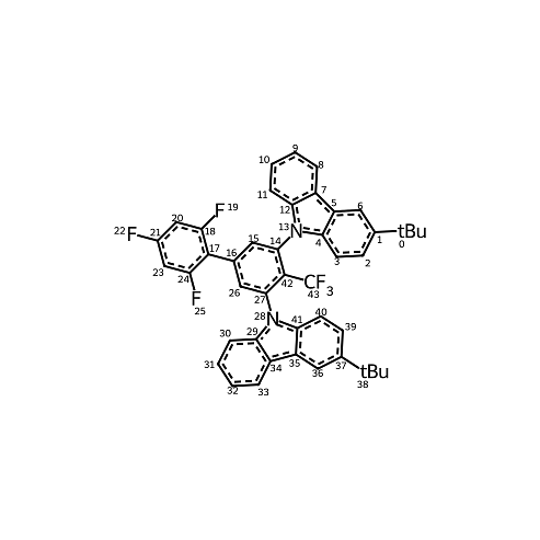 CC(C)(C)c1ccc2c(c1)c1ccccc1n2-c1cc(-c2c(F)cc(F)cc2F)cc(-n2c3ccccc3c3cc(C(C)(C)C)ccc32)c1C(F)(F)F